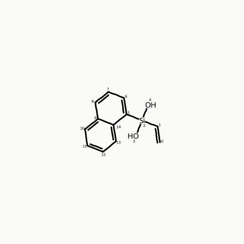 C=C[Si](O)(O)c1cccc2ccccc12